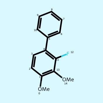 COc1ccc(-c2ccccc2)c(F)c1OC